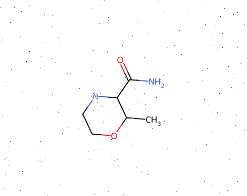 CC1OCC[N]C1C(N)=O